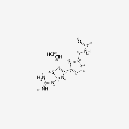 CN/C(N)=N/c1nc(-c2cccc(CNC(C)=O)n2)cs1.Cl.Cl